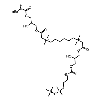 CCCCNC(=O)OCC(O)COC(=O)C[N+](C)(C)CCCCCC[N+](C)(C)CC(=O)OCC(O)COC(=O)NCCC[Si](C)(C)O[Si](C)(C)C